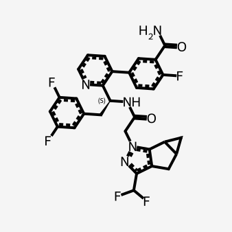 NC(=O)c1cc(-c2cccnc2[C@H](Cc2cc(F)cc(F)c2)NC(=O)Cn2nc(C(F)F)c3c2C2CC2C3)ccc1F